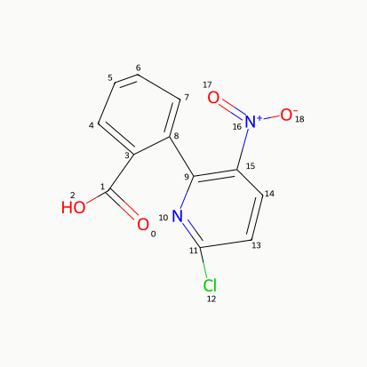 O=C(O)c1ccccc1-c1nc(Cl)ccc1[N+](=O)[O-]